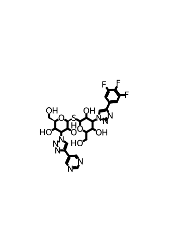 OCC1OC(S[C@@H]2O[C@H](CO)C(O)C(n3cc(-c4cncnc4)nn3)C2O)C(O)C(n2cc(-c3cc(F)c(F)c(F)c3)nn2)C1O